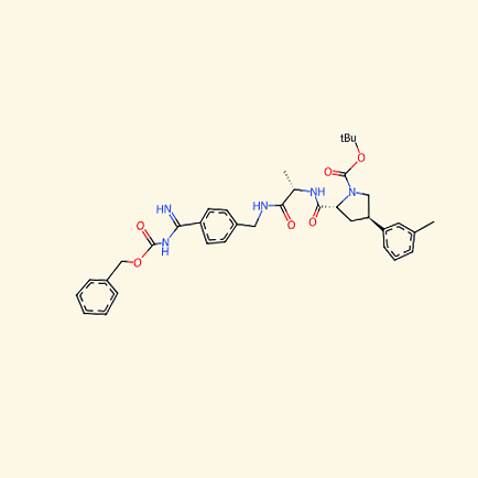 Cc1cccc([C@H]2C[C@H](C(=O)N[C@@H](C)C(=O)NCc3ccc(C(=N)NC(=O)OCc4ccccc4)cc3)N(C(=O)OC(C)(C)C)C2)c1